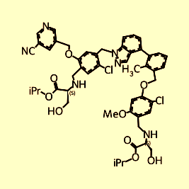 COc1cc(OCc2cccc(-c3cccc4c3cnn4Cc3cc(OCc4cncc(C#N)c4)c(CN[C@@H](CO)C(=O)OC(C)C)cc3Cl)c2C)c(Cl)cc1CN[C@@H](CO)C(=O)OC(C)C